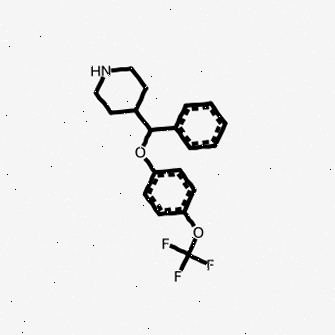 FC(F)(F)Oc1ccc(OC(c2ccccc2)C2CCNCC2)cc1